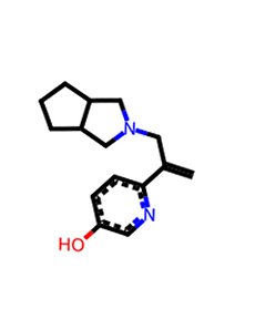 C=C(CN1CC2CCCC2C1)c1ccc(O)cn1